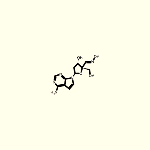 Nc1ncnc2c1ccn2[C@H]1C[C@H](O)[C@@](C=NO)(CO)O1